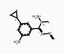 C=N/N=C(/c1cc(N)cc(C2CC2)c1)N(C)N